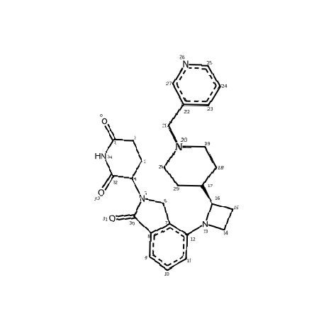 O=C1CCC(N2Cc3c(cccc3N3CC[C@@H]3C3CCN(Cc4cccnc4)CC3)C2=O)C(=O)N1